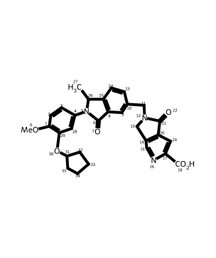 COc1ccc(N2C(=O)c3cc(CN4Cc5cnc(C(=O)O)cc5C4=O)ccc3C2C)cc1OC1CCCC1